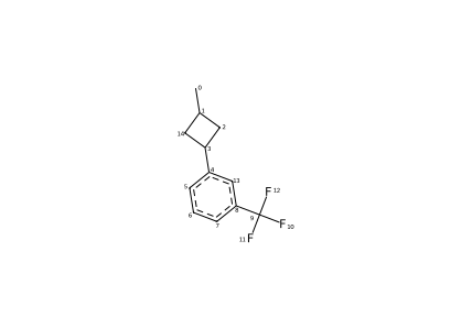 CC1CC(c2cccc(C(F)(F)F)c2)C1